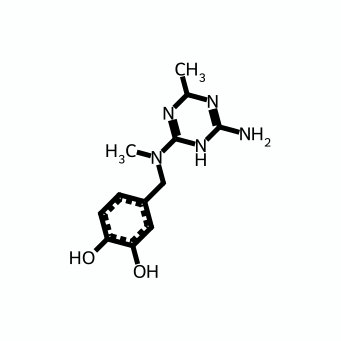 CC1N=C(N)NC(N(C)Cc2ccc(O)c(O)c2)=N1